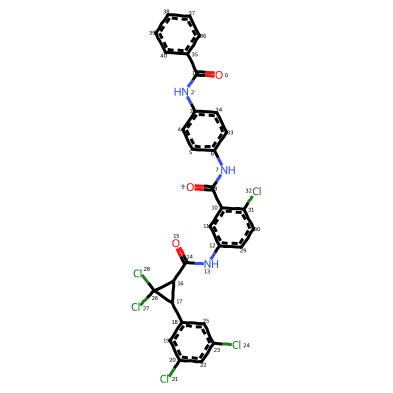 O=C(Nc1ccc(NC(=O)c2cc(NC(=O)C3C(c4cc(Cl)cc(Cl)c4)C3(Cl)Cl)ccc2Cl)cc1)c1ccccc1